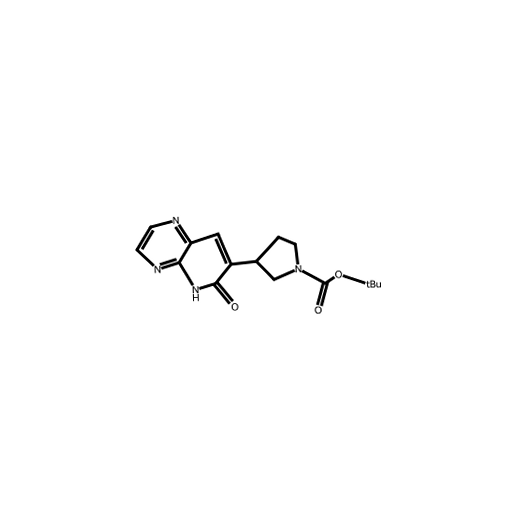 CC(C)(C)OC(=O)N1CCC(c2cc3nccnc3[nH]c2=O)C1